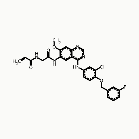 C=CC(=O)NCC(=O)Nc1cc2c(Nc3ccc(OCc4cccc(F)c4)c(Cl)c3)ncnc2cc1OC